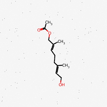 CC(=O)OC/C(C)=C/CC/C(C)=C/CO